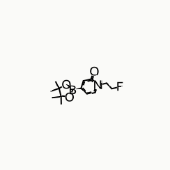 CC1(C)OB(c2ccn(CCF)c(=O)c2)OC1(C)C